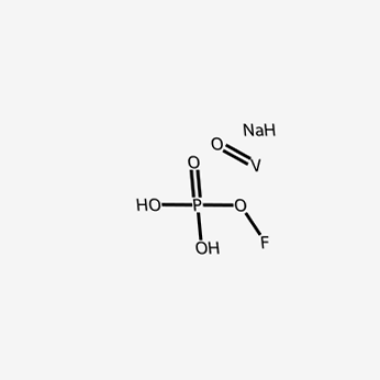 O=P(O)(O)OF.[NaH].[O]=[V]